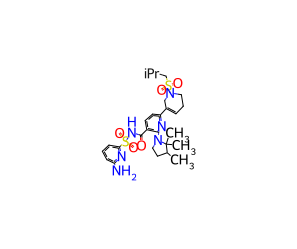 CC(C)CS(=O)(=O)N1CCC=C(c2ccc(C(=O)NS(=O)(=O)c3cccc(N)n3)c(N3CCC(C)C3(C)C)n2)C1